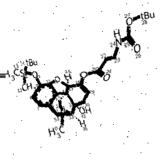 CN1CC[C@]23c4c5ccc(O[Si](C)(C)C(C)(C)C)c4O[C@H]2C(OC(=O)CCNC(=O)OC(C)(C)C)=CC[C@@]3(O)[C@H]1C5